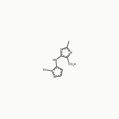 CCn1nccc1Nc1sc(C)nc1C(=O)O